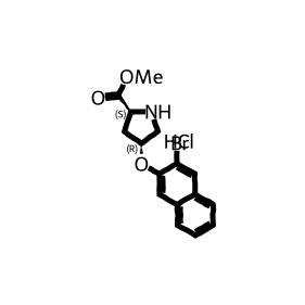 COC(=O)[C@@H]1C[C@@H](Oc2cc3ccccc3cc2Br)CN1.Cl